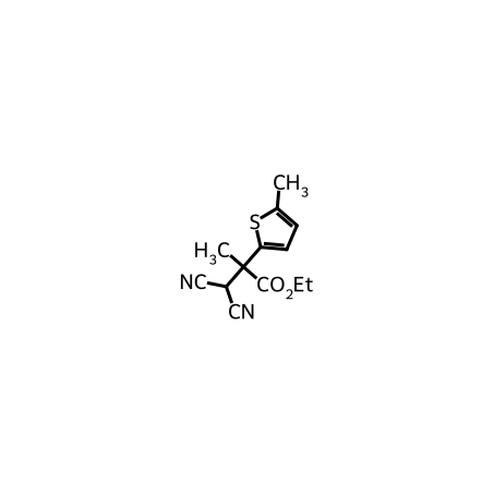 CCOC(=O)C(C)(c1ccc(C)s1)C(C#N)C#N